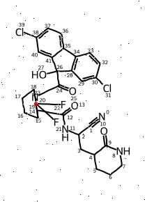 N#CC(CC1CCCNC1=O)NC(=O)C1C2CCC(CC2(F)F)N1C(=O)C1(O)c2cc(Cl)ccc2-c2ccc(Cl)cc21